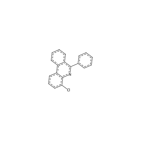 Clc1cccc2c1nc(-c1ccccc1)c1ccccc12